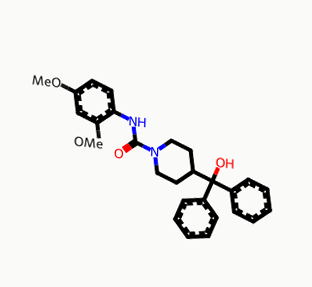 COc1ccc(NC(=O)N2CCC(C(O)(c3ccccc3)c3ccccc3)CC2)c(OC)c1